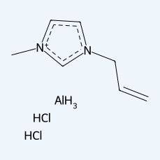 C=CCn1cc[n+](C)c1.Cl.Cl.[AlH3]